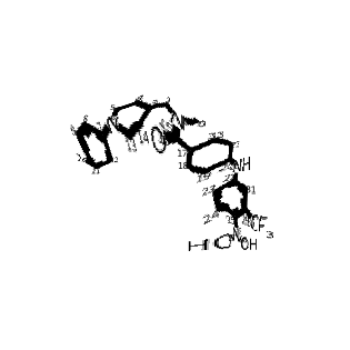 CN(CC1CCN(c2ccccc2)CC1)C(=O)C1CCC(Nc2ccc(N(O)O)c(C(F)(F)F)c2)CC1